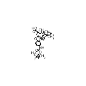 CC(C)(OC(=O)Nc1ccc2c(c1)NC[C@H](C[C@](C)(CO[Si](C)(C)C(C)(C)C)C(=O)O)O2)C(F)(F)F